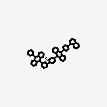 c1ccc(-c2c3ccccc3c(-c3cccc4c3sc3cc(-c5c6ccccc6c(-c6ccc(-c7cccc8ccccc78)cc6)c6ccccc56)ccc34)c3ccccc23)cc1